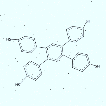 Sc1ccc(-c2cc(-c3ccc(S)cc3)c(-c3ccc(S)cc3)cc2-c2ccc(S)cc2)cc1